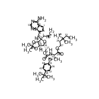 C=NC[C@@]1(Cc2ccc3c(N)ncnn23)O[C@H](COP(=O)(N[C@@H](C)C(=O)OCCC(C)(C)CC)Oc2ccc(C(C)(C)C)cc2)[C@H]2OC(C)(C)O[C@H]21